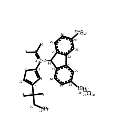 C[C](C)=[Zr+2]([C]1=CC(C(C)(C)CC(C)C)=CC1)[CH]1c2ccc(C(C)(C)C)cc2-c2cc(C(C)(C)C)ccc21.[Cl-].[Cl-]